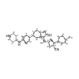 CCc1nc2ccc(-c3cnc(NC4CCNCC4)nc3)cn2c1N(C)c1nc(-c2ccc(F)cc2)c(C#N)s1